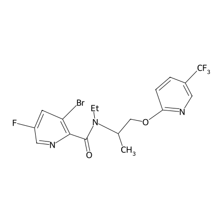 CCN(C(=O)c1ncc(F)cc1Br)C(C)COc1ccc(C(F)(F)F)cn1